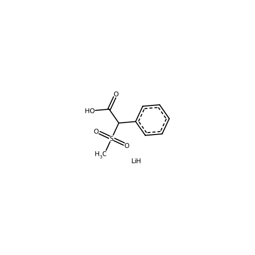 CS(=O)(=O)C(C(=O)O)c1ccccc1.[LiH]